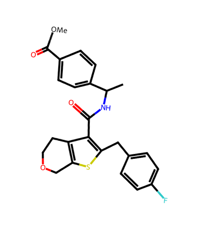 COC(=O)c1ccc(C(C)NC(=O)c2c(Cc3ccc(F)cc3)sc3c2CCOC3)cc1